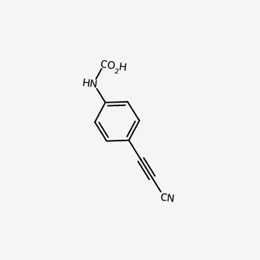 N#CC#Cc1ccc(NC(=O)O)cc1